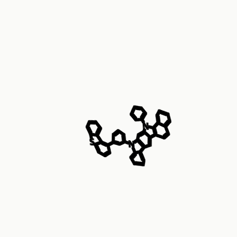 c1ccc(-n2c3cc4c(cc3c3ccc5ccccc5c32)c2ccccc2n4-c2cccc(-c3cccc4sc5ccccc5c34)c2)cc1